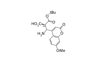 COc1ccc2c(C(N)[C@@H](C(=O)O)C(=O)OC(C)(C)C)cc(=O)oc2c1